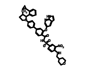 CC1CCN(c2ccc(-c3ccc(C(=O)NS(=O)(=O)c4ccc(NCC5CCOCC5)c([N+](=O)[O-])c4)c(Oc4cnc5[nH]ccc5c4)c3)cc2)C1c1ccccc1C1CC1